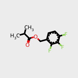 CC(C)C(=O)OCc1ccc(F)c(F)c1F